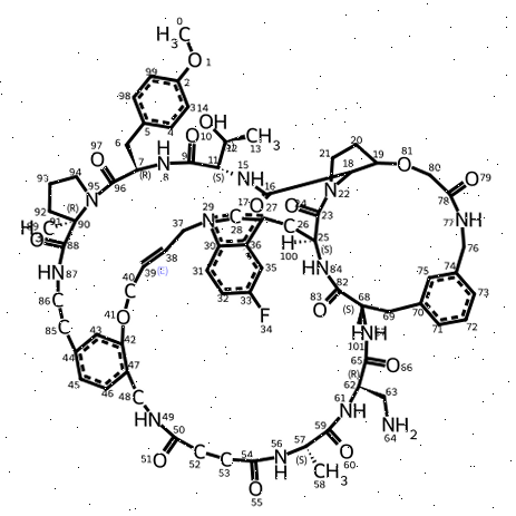 COc1ccc(C[C@H]2NC(=O)[C@H]([C@H](C)O)NC(=O)C3C4CCN3C(=O)[C@@H]3Cc5cn(c6ccc(F)cc56)C/C=C/COc5cc(ccc5CNC(=O)CCC(=O)N[C@@H](C)C(=O)N[C@H](CN)C(=O)N[C@@H](Cc5cccc(c5)CNC(=O)CO4)C(=O)N3)CCNC(=O)[C@@]3(C)CCCN3C2=O)cc1